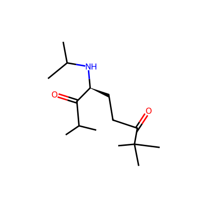 CC(C)N[C@@H](CCC(=O)C(C)(C)C)C(=O)C(C)C